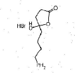 Br.O=C1CCC(O)(CCCCP)O1